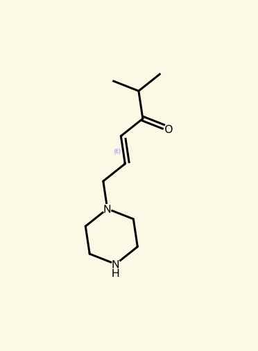 CC(C)C(=O)/C=C/CN1CCNCC1